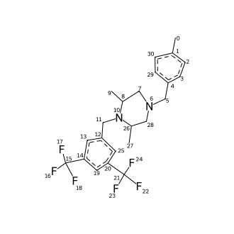 Cc1ccc(CN2CC(C)N(Cc3cc(C(F)(F)F)cc(C(F)(F)F)c3)C(C)C2)cc1